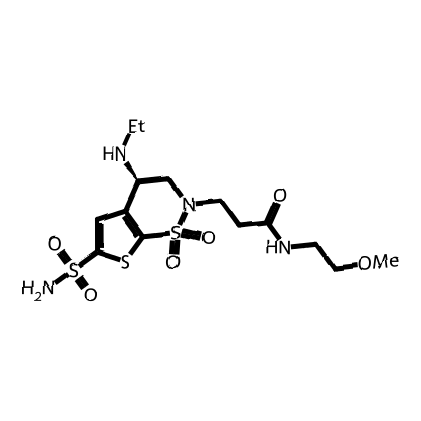 CCN[C@H]1CN(CCC(=O)NCCOC)S(=O)(=O)c2sc(S(N)(=O)=O)cc21